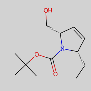 CC[C@H]1C=C[C@@H](CO)N1C(=O)OC(C)(C)C